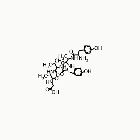 CC(C)[C@@H](NC(=O)[C@@H](Cc1ccc(O)cc1)NC(=O)[C@@H](C)NC(=O)[C@H](N)Cc1ccc(O)cc1)C(=O)N[C@H](C)C(=O)NCC(=O)O